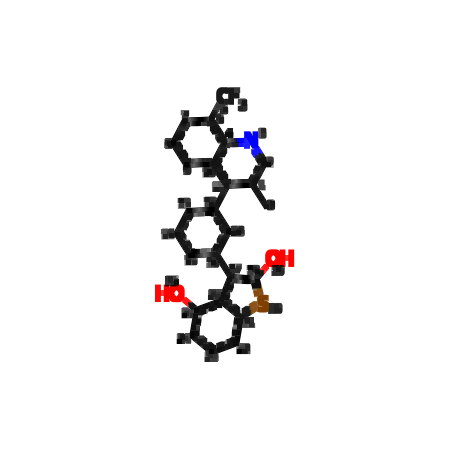 Cc1cnc2c(C(F)(F)F)cccc2c1-c1cccc(-c2c(O)sc3cccc(O)c23)c1